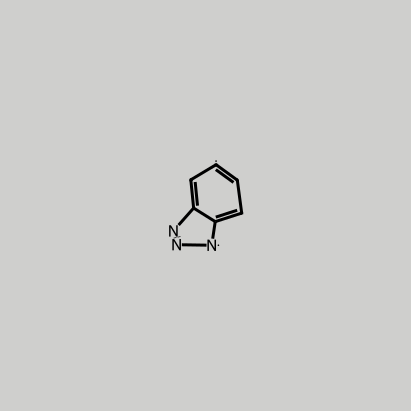 [c]1ccc2c(c1)N=N[N]2